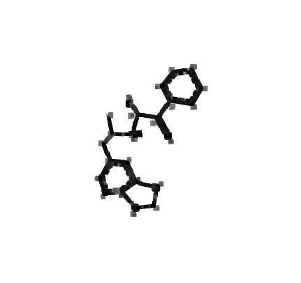 CC(Cc1ccc2c(c1)OCO2)NC(Cl)C(=O)c1ccccc1